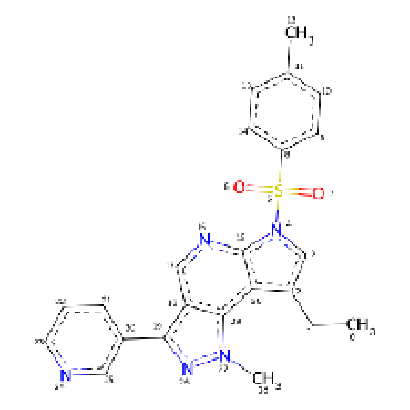 CCc1cn(S(=O)(=O)c2ccc(C)cc2)c2ncc3c(-c4cccnc4)nn(C)c3c12